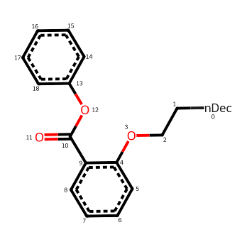 CCCCCCCCCCCCOc1ccccc1C(=O)Oc1ccccc1